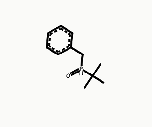 CC(C)(C)[PH](=O)Cc1ccccc1